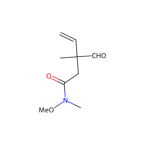 C=CC(C)(C=O)CC(=O)N(C)OC